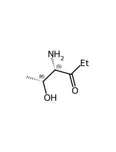 CCC(=O)[C@@H](N)[C@@H](C)O